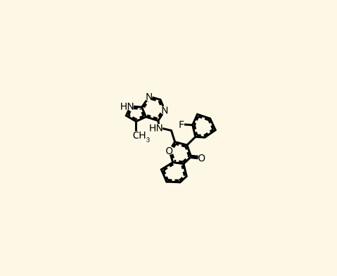 Cc1c[nH]c2ncnc(NCc3oc4ccccc4c(=O)c3-c3ccccc3F)c12